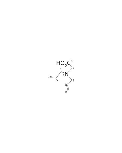 C=CCN(CC=C)CC(=O)O